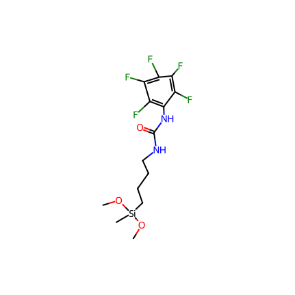 CO[Si](C)(CCCCNC(=O)Nc1c(F)c(F)c(F)c(F)c1F)OC